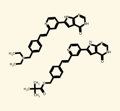 CC(C)(C)C(=O)OCc1ccc(C=Cc2cc(-c3cc4c(=O)[nH]cnc4[nH]3)ccn2)cc1.CCN(CC)Cc1ccc(C=Cc2cc(-c3cc4c(=O)[nH]cnc4[nH]3)ccn2)cc1